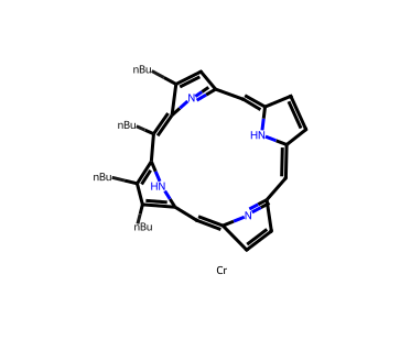 CCCCC1=Cc2cc3ccc(cc4nc(cc5[nH]c(c(CCCC)c1n2)c(CCCC)c5CCCC)C=C4)[nH]3.[Cr]